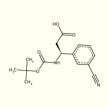 CC(C)(C)OC(=O)N[C@@H](CC(=O)O)c1cccc(C#N)c1